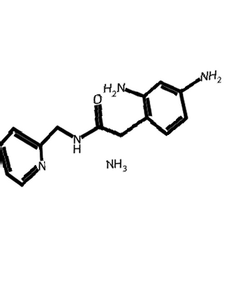 N.Nc1ccc(CC(=O)NCc2ccccn2)c(N)c1